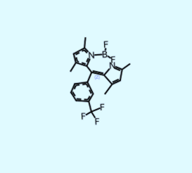 CC1=CC(C)=N/C1=C(/c1cccc(C(F)(F)F)c1)c1c(C)cc(C)n1B(F)F